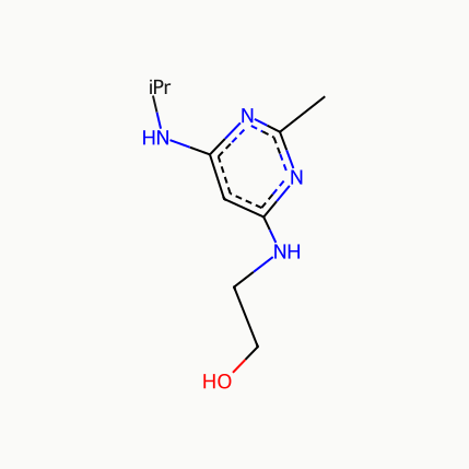 Cc1nc(NCCO)cc(NC(C)C)n1